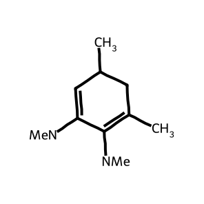 CNC1=CC(C)CC(C)=C1NC